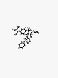 [2H]N([2H])C(=O)c1ccc(C2([2H])OC(N)=C(OS(=O)(=O)C([2H])([2H])c3ccccc3)C2=O)cc1